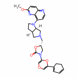 COc1ccc2nccc(N3CC[C@@H]4CN(C[C@@H]5CN(C6=COC=C(C7=CC=CCC7)O6)C(=O)O5)C[C@@H]43)c2n1